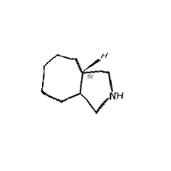 C1CCC2CNC[C@H]2CC1